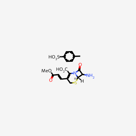 COC(=O)C=CC1=C(C(=O)O)N2C(=O)C(N)[C@@H]2SC1.Cc1ccc(S(=O)(=O)O)cc1